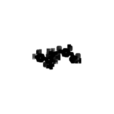 COc1cc(C(=O)NCC(O)(c2cc3c(c(-c4ccc(F)c(Cl)c4)n2)OCC3(C)C)C(F)(F)F)ccc1CC1CCNC1=O